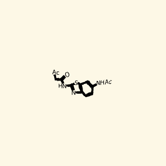 CC(=O)CC(=O)Nc1nc2ccc(NC(C)=O)cc2s1